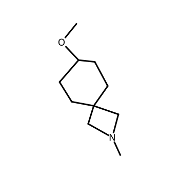 COC1CCC2(CC1)CN(C)C2